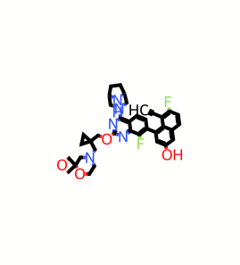 C#Cc1c(F)ccc2cc(O)cc(-c3ccc4c(N5CC6CCC(C5)N6)nc(OCC5(CN6CCOC7(COC7)C6)CC5)nc4c3F)c12